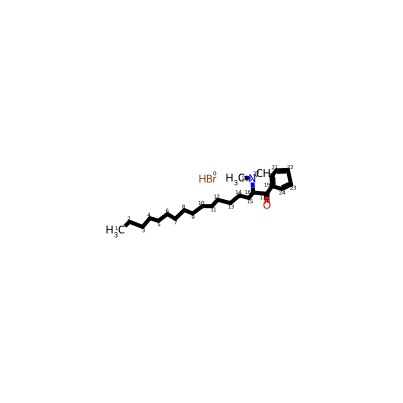 Br.CCCCCCCCCCCCCCCC(C(=O)c1ccccc1)N(C)C